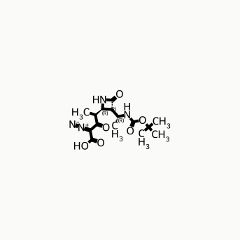 CC(C(=O)C(=[N+]=[N-])C(=O)O)[C@H]1NC(=O)[C@@H]1[C@@H](C)NC(=O)OC(C)(C)C